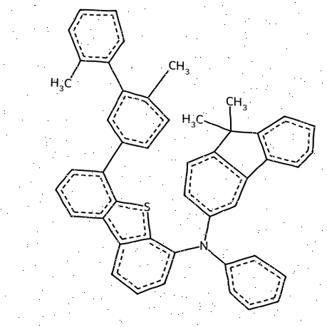 Cc1ccccc1-c1cc(-c2cccc3c2sc2c(N(c4ccccc4)c4ccc5c(c4)-c4ccccc4C5(C)C)cccc23)ccc1C